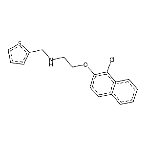 Clc1c(OCCNCc2cccs2)ccc2ccccc12